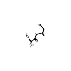 CCC(C)CC(=S)C(=O)O